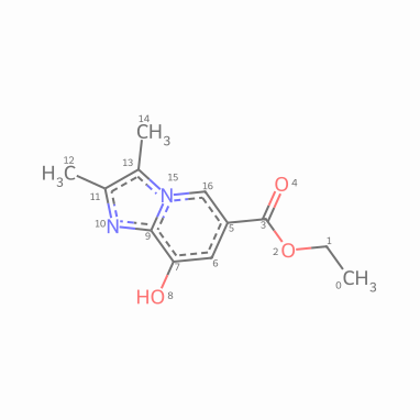 CCOC(=O)c1cc(O)c2nc(C)c(C)n2c1